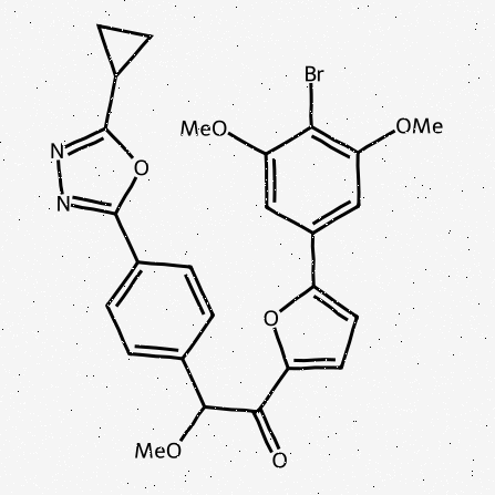 COc1cc(-c2ccc(C(=O)C(OC)c3ccc(-c4nnc(C5CC5)o4)cc3)o2)cc(OC)c1Br